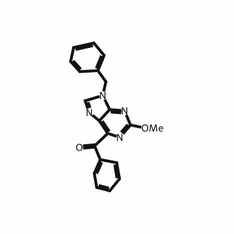 COc1nc(C(=O)c2ccccc2)c2ncn(Cc3ccccc3)c2n1